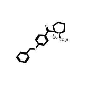 CC(C)(C)[C@]1(C(=O)c2ccc(OCc3ccccc3)cc2)CCCCN1C(=O)O